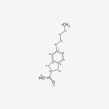 CCCCCc1ccc2c(c1)CC(C(=O)O)C2